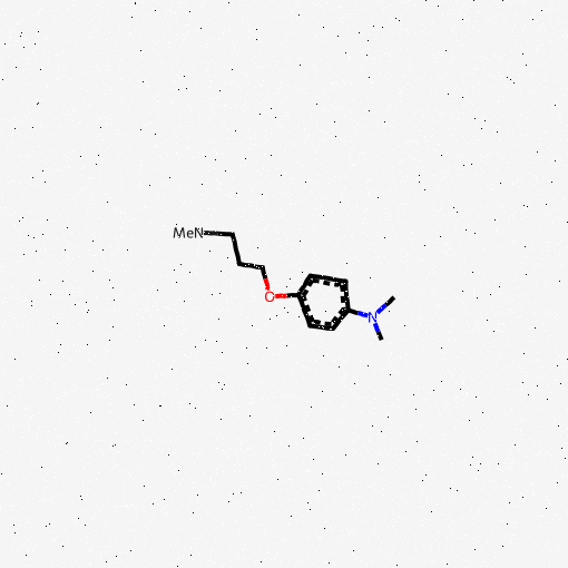 CNCCCOc1ccc(N(C)C)cc1